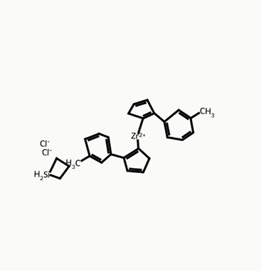 C1C[SiH2]C1.Cc1cccc(C2=[C]([Zr+2][C]3=C(c4cccc(C)c4)C=CC3)CC=C2)c1.[Cl-].[Cl-]